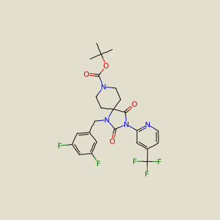 CC(C)(C)OC(=O)N1CCC2(CC1)C(=O)N(c1cc(C(F)(F)F)ccn1)C(=O)N2Cc1cc(F)cc(F)c1